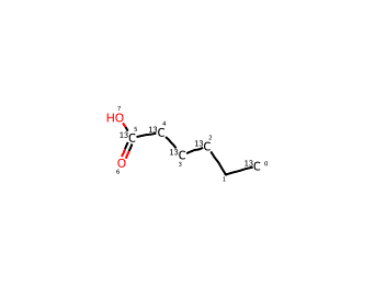 [13CH3]C[13CH2][13CH2][13CH2][13C](=O)O